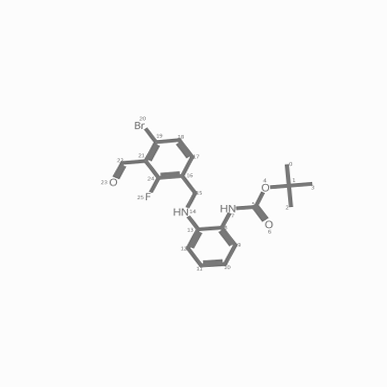 CC(C)(C)OC(=O)Nc1ccccc1NCc1ccc(Br)c(C=O)c1F